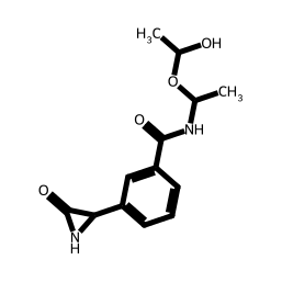 CC(O)OC(C)NC(=O)c1cccc(C2NC2=O)c1